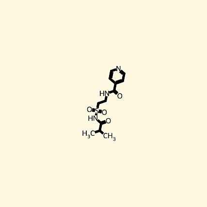 CC(C)C(=O)NS(=O)(=O)CCNC(=O)c1ccncc1